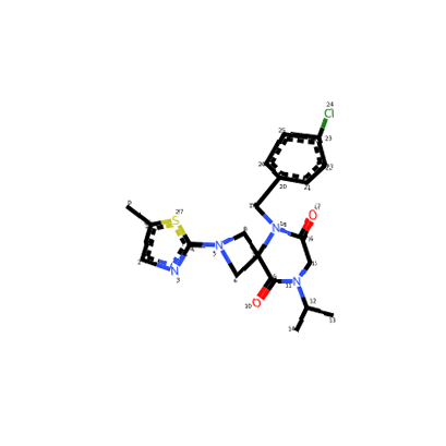 Cc1cnc(N2CC3(C2)C(=O)N(C(C)C)CC(=O)N3Cc2ccc(Cl)cc2)s1